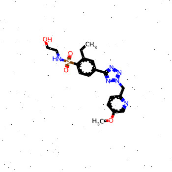 CCc1cc(-c2nnn(Cc3ccc(OC)cn3)n2)ccc1S(=O)(=O)NCCO